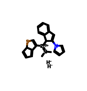 C[Si](C)=[Zr+2]([C]1=CSC2C=CC=C12)[CH]1C(n2cccc2)=Cc2ccccc21.[H-].[H-]